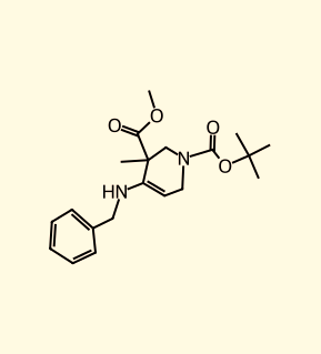 COC(=O)C1(C)CN(C(=O)OC(C)(C)C)CC=C1NCc1ccccc1